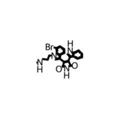 CNCCCn1cc(C2=C(c3c[nH]c4ccccc34)C(=O)NC2=O)c2cccc(Br)c21